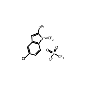 CCCc1cc2cc(Cl)ccc2[s+]1C(F)(F)F.O=S(=O)([O-])C(F)(F)F